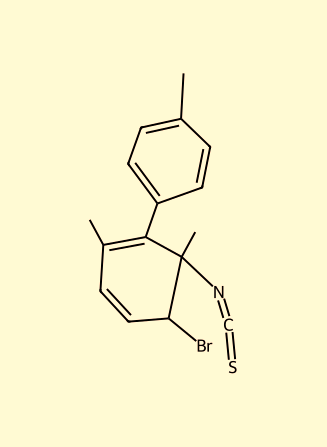 CC1=C(c2ccc(C)cc2)C(C)(N=C=S)C(Br)C=C1